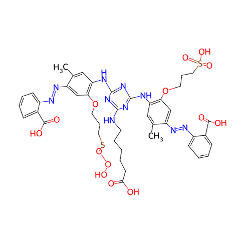 Cc1cc(Nc2nc(NCCCCCC(=O)O)nc(Nc3cc(C)c(N=Nc4ccccc4C(=O)O)cc3OCCCS(=O)(=O)O)n2)c(OCCCSOOO)cc1N=Nc1ccccc1C(=O)O